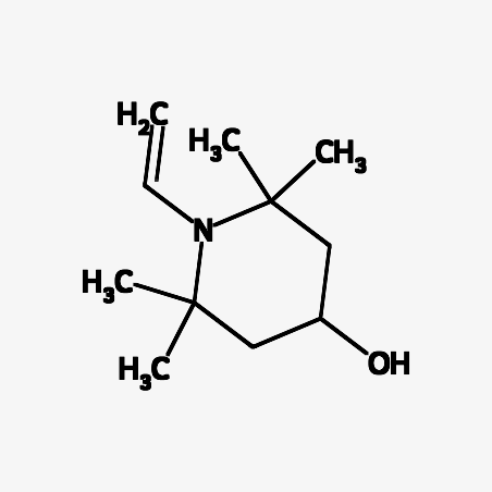 C=CN1C(C)(C)CC(O)CC1(C)C